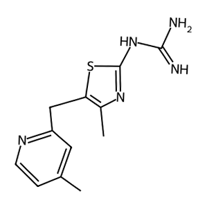 Cc1ccnc(Cc2sc(NC(=N)N)nc2C)c1